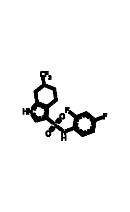 O=S(=O)(Nc1ccc(F)cc1F)c1c[nH]c2c1CCC(C(F)(F)F)C2